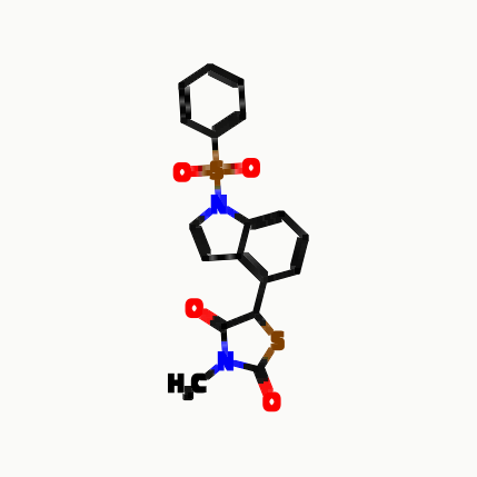 CN1C(=O)SC(c2cccc3c2ccn3S(=O)(=O)c2ccccc2)C1=O